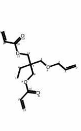 C=CCOCC(CC)(COC(=O)C=C)COC(=O)C=C